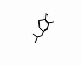 Cc1cc(CC(C)C)ccc1Br